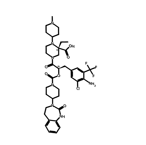 CC[C@@]1(C(=O)O)CN(C(=O)[C@@H](Cc2cc(Cl)c(N)c(C(F)(F)F)c2)OC(=O)N2CCC(N3CCc4ccccc4NC3=O)CC2)CCN1C1CCN(C)CC1